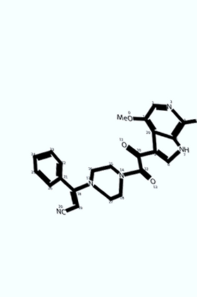 COc1cnc(Cl)c2[nH]cc(C(=O)C(=O)N3CCN(/C(=C/C#N)c4ccccc4)CC3)c12